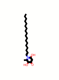 CCCCCCCCCCCCCCCCC=Cn1c(O)cc(=O)c(O)c1C